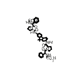 CC1(C)c2cc(NC(=O)C3CCCN3C(=O)[C@H](NC(=O)O)c3ccccc3)ccc2-c2ccc(NC(=O)[C@@H]3CCCN3C(=O)[C@H](NC(=O)O)c3ccccc3)cc21